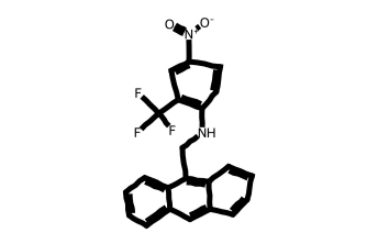 O=[N+]([O-])c1ccc(NCc2c3ccccc3cc3ccccc23)c(C(F)(F)F)c1